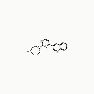 c1ccc2ncc(-c3ccnc(N4CCCNCC4)n3)cc2c1